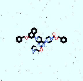 C[C@@H](Oc1nc2c(c(N3CCN(C(=O)OCc4ccccc4)CC3)n1)CCN(c1cc(OCc3ccccc3)cc3ccccc13)C2)[C@H]1CCCN1C